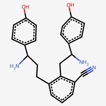 N#Cc1cccc(CCC(N)c2ccc(O)cc2)c1CC(N)c1ccc(O)cc1